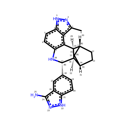 Cc1n[nH]c2ccc3c(c12)[C@H]1[C@@H]2CC[C@@H](C2)[C@H]1[C@H](c1ccc2[nH]nc(N)c2c1)N3